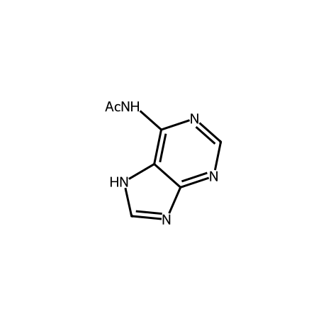 CC(=O)Nc1ncnc2nc[nH]c12